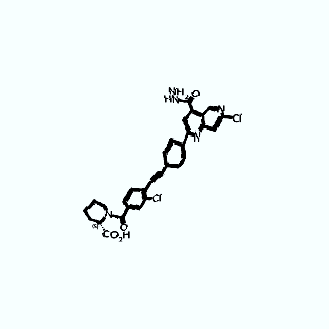 NNC(=O)c1cc(-c2ccc(C#Cc3ccc(C(=O)N4CCCC[C@H]4C(=O)O)cc3Cl)cc2)nc2cc(Cl)ncc12